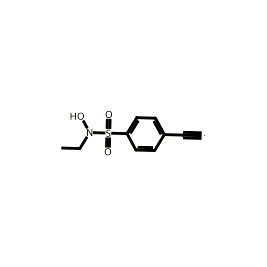 [C]#Cc1ccc(S(=O)(=O)N(O)CC)cc1